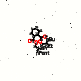 CCCCCC(CCC)COC(=O)C1CCCCC1C(=O)OCC(CC)CCCC